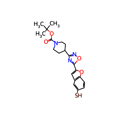 CC(C)(C)OC(=O)N1CCC(c2noc(-c3cc4cc(S)ccc4o3)n2)CC1